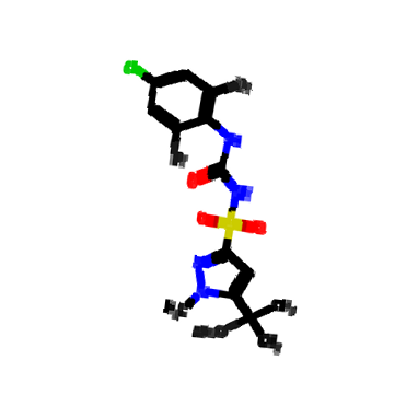 COC(C)(C)c1cc(S(=O)(=O)NC(=O)Nc2c(C(C)C)cc(Cl)cc2C(C)C)nn1C